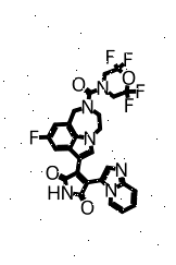 O=C1NC(=O)C(c2cnc3ccccn23)=C1c1cn2c3c(cc(F)cc13)CN(C(=O)N1CC(F)(F)OC(F)(F)C1)CC2